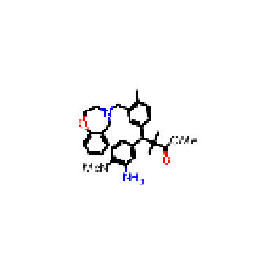 CNc1ccc(C(c2ccc(C)c(CN3CCOc4ccccc4C3)c2)C(C)(C)C(=O)OC)cc1N